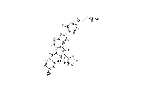 CCc1cc(O)ccc1/N=C(\N)c1cnn2cc(-c3ccc(OCCNC(C)=O)cc3C)cc2c1NC[C@H]1CCCN1